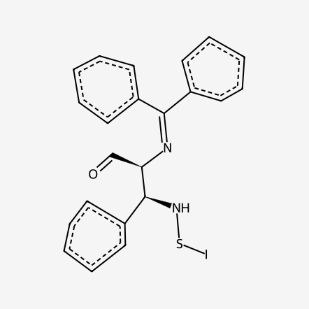 O=C[C@@H](N=C(c1ccccc1)c1ccccc1)[C@@H](NSI)c1ccccc1